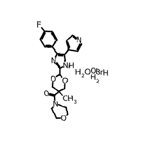 Br.CC1(C(=O)N2CCOCC2)COC(c2nc(-c3ccc(F)cc3)c(-c3ccncc3)[nH]2)OC1.O.O